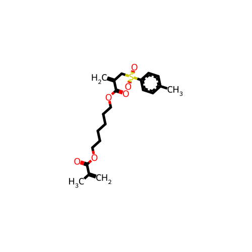 C=C(C)C(=O)OCCCCCCOC(=O)C(=C)CS(=O)(=O)c1ccc(C)cc1